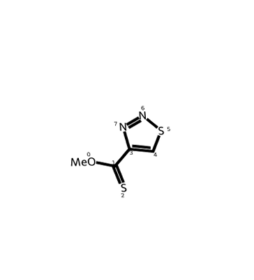 COC(=S)c1csnn1